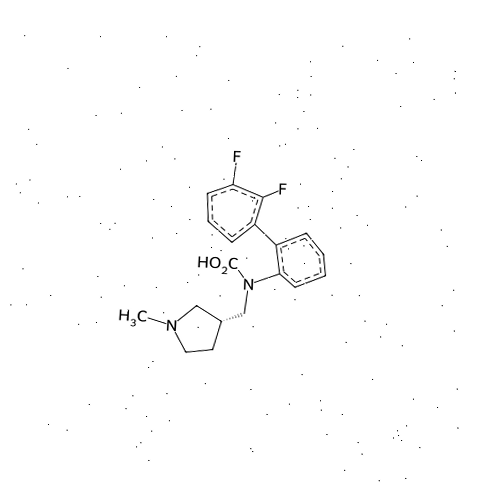 CN1CC[C@@H](CN(C(=O)O)c2ccccc2-c2cccc(F)c2F)C1